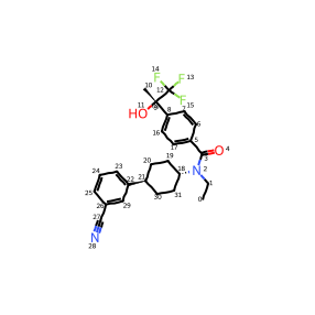 CCN(C(=O)c1ccc([C@](C)(O)C(F)(F)F)cc1)[C@H]1CC[C@H](c2cccc(C#N)c2)CC1